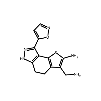 NCc1c(N)sc2c1CCc1[nH]nc(-c3ccno3)c1-2